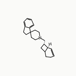 C1=C[C@H]2C(CC1)C[C@@H]2CN1CCC2(CCc3ccccc32)CC1